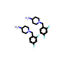 NC1CCN(Cc2ccc(F)cc2F)CC1.NC1CCN(Cc2ccc(F)cc2F)CC1